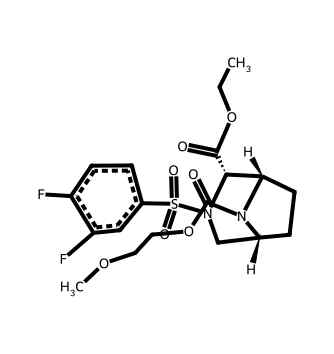 CCOC(=O)[C@@H]1[C@@H]2CC[C@H](CN1S(=O)(=O)c1ccc(F)c(F)c1)N2C(=O)OCCOC